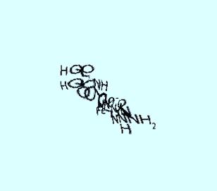 Nc1nc(=O)c2nc(C[NH+]([O-])c3ccc(C(=O)N[C@@H](CCC(=O)O)C(=O)O)cc3)cnc2[nH]1.[Fe]